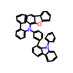 c1ccc(-c2ccccc2N(c2cccc(-c3cccc4c5ccccc5n(-c5ccccc5)c34)c2)c2cccc3c2oc2ccccc23)cc1